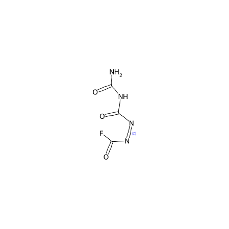 NC(=O)NC(=O)/N=N\C(=O)F